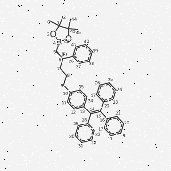 CC1(C)OB(C[C@H](CCCc2ccc(C(=C(c3ccccc3)c3ccccc3)c3ccccc3)cc2)c2ccccc2)OC1(C)C